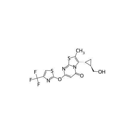 Cc1sc2nc(Oc3nc(C(F)(F)F)cs3)cc(=O)n2c1[C@@H]1C[C@H]1CO